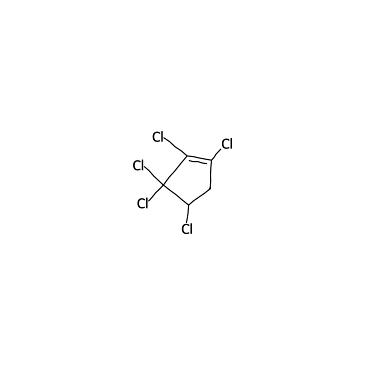 ClC1=C(Cl)C(Cl)(Cl)C(Cl)C1